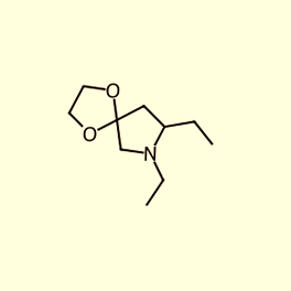 CCC1CC2(CN1CC)OCCO2